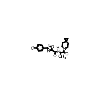 CC(NC(=O)c1nc(-c2ccc(Cl)cc2)no1)C(=O)N1CCC2(CC1)CC2